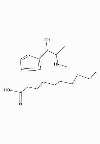 CCCCCCCCCC(=O)O.CNC(C)C(O)c1ccccc1